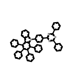 c1ccc(-c2nc(-c3ccccc3)nc(-c3ccc(-n4c5ccccc5c5c(-c6ccccc6)c(-c6ccccc6)c(-c6ccccc6)c(-c6ccccc6)c54)cc3)n2)cc1